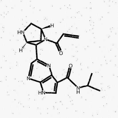 C=CC(=O)N1C(c2cnc3[nH]cc(C(=O)NC(C)C)c3n2)[C@@H]2C[C@@H]1CN2